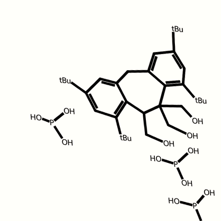 CC(C)(C)c1cc2c(c(C(C)(C)C)c1)C(CO)C(CO)(CO)c1c(cc(C(C)(C)C)cc1C(C)(C)C)C2.OP(O)O.OP(O)O.OP(O)O